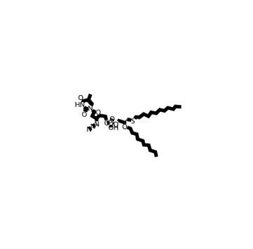 CCCCCCCCCCCCSC[C@@H](COP(=O)(O)OCC1OC(n2cc(C)c(=O)[nH]c2=O)CC1N=[N+]=[N-])OCCCCCCCCCC